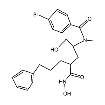 CN(C(=O)c1ccc(Br)cc1)C(CO)CC(CCCc1ccccc1)C(=O)NO